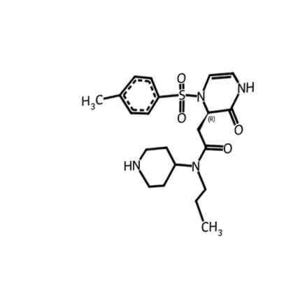 CCCN(C(=O)C[C@@H]1C(=O)NC=CN1S(=O)(=O)c1ccc(C)cc1)C1CCNCC1